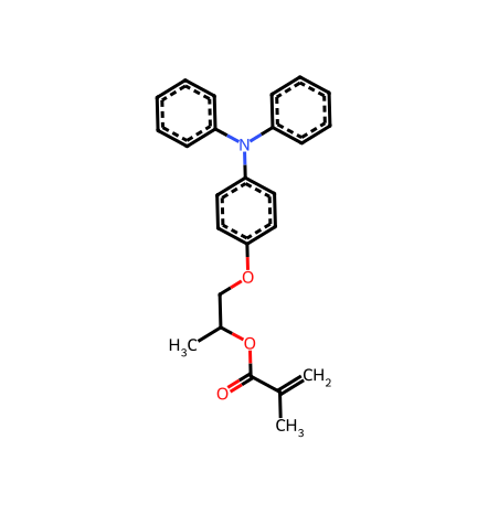 C=C(C)C(=O)OC(C)COc1ccc(N(c2ccccc2)c2ccccc2)cc1